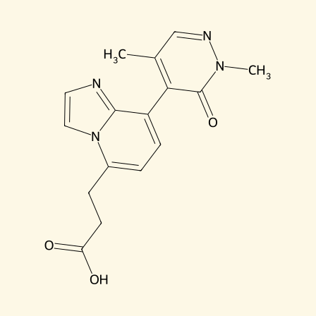 Cc1cnn(C)c(=O)c1-c1ccc(CCC(=O)O)n2ccnc12